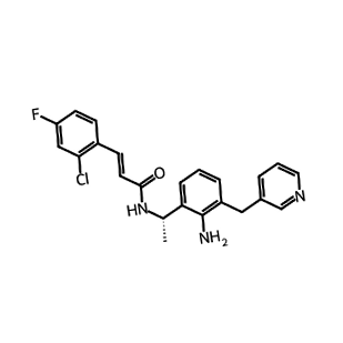 C[C@H](NC(=O)C=Cc1ccc(F)cc1Cl)c1cccc(Cc2cccnc2)c1N